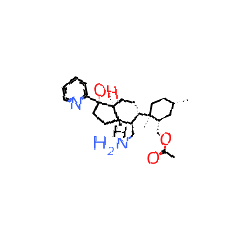 CC(=O)OC[C@H]1C[C@@H](C)CC[C@]1(C)[C@H]1CC[C@@]2(C)[C@@H](CC[C@@]2(O)c2ccccn2)[C@@H]1CN